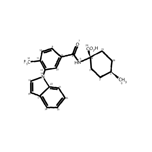 C[C@H]1CC[C@@](NC(=O)c2ccc(C(F)(F)F)c(-n3ccc4ccccc43)c2)(C(=O)O)CC1